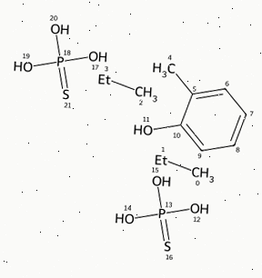 CCC.CCC.Cc1ccccc1O.OP(O)(O)=S.OP(O)(O)=S